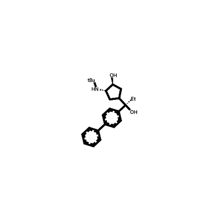 CC[C@](O)(c1ccc(-c2ccccc2)cc1)C1C[C@H](NC(C)(C)C)[C@@H](O)C1